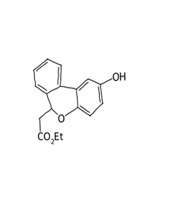 CCOC(=O)CC1Oc2ccc(O)cc2-c2ccccc21